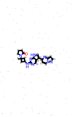 CC1(N2CCCC2=O)CC(Nc2ncc3c(-c4ccn5nccc5n4)c[nH]c3n2)C1